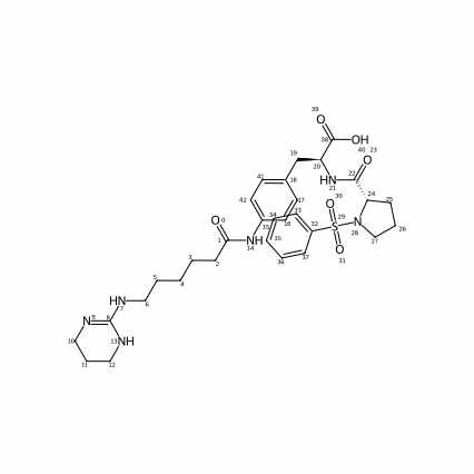 O=C(CCCCCNC1=NCCCN1)Nc1ccc(C[C@H](NC(=O)[C@@H]2CCCN2S(=O)(=O)c2ccccc2)C(=O)O)cc1